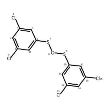 Clc1cc(Cl)cc(SOSc2cc(Cl)cc(Cl)c2)c1